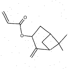 C=CC(=O)OC1CC2CC(C1=C)C2(C)C